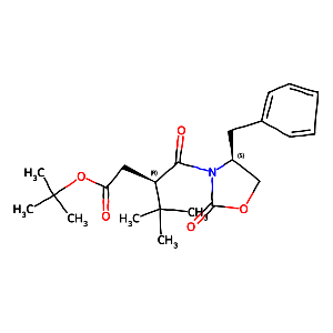 CC(C)(C)OC(=O)C[C@@H](C(=O)N1C(=O)OC[C@@H]1Cc1ccccc1)C(C)(C)C